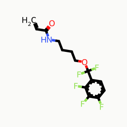 C=CC(=O)NCCCCOC(F)(F)c1ccc(F)c(F)c1F